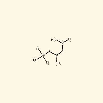 CCN(C)CC(C)C[N+](C)(CC)CC